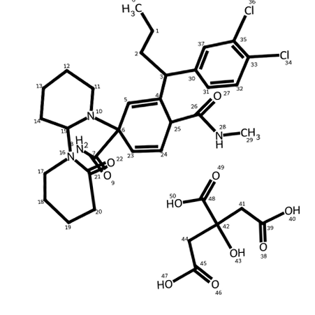 CCCC(C1=CC(C(N)=O)(N2CCCCC2N2CCCCC2=O)C=CC1C(=O)NC)c1ccc(Cl)c(Cl)c1.O=C(O)CC(O)(CC(=O)O)C(=O)O